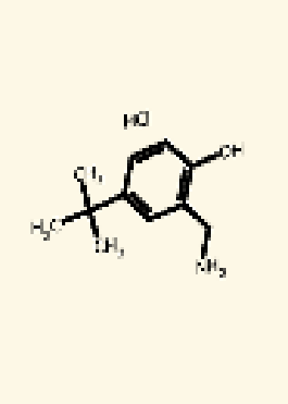 CC(C)(C)c1ccc(O)c(CN)c1.Cl